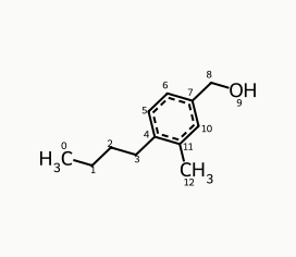 CCCCc1ccc(CO)cc1C